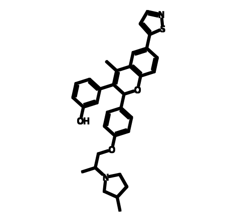 CC1=C(c2cccc(O)c2)C(c2ccc(OCC(C)N3CCC(C)C3)cc2)Oc2ccc(-c3ccns3)cc21